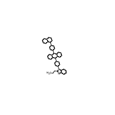 CCCc1nc2ccccc2n1-c1ccc(-c2c3ccccc3c(-c3ccc(-c4cccc5ccccc45)cc3)c3ccccc23)cc1